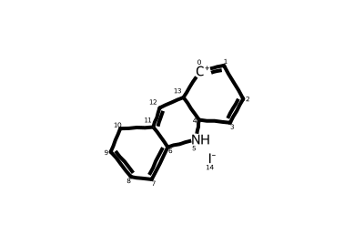 [C+]1=CC=CC2NC3=CC=CCC3=CC12.[I-]